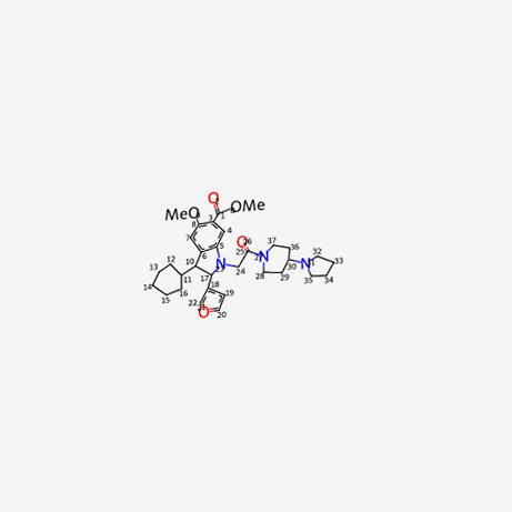 COC(=O)c1cc2c(cc1OC)C(C1CCCCC1)C(c1ccoc1)N2CC(=O)N1CCC(N2CCCC2)CC1